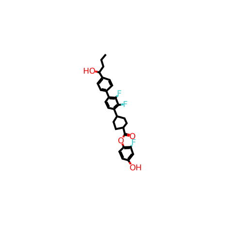 CCCC(O)c1ccc(-c2ccc(C3CCC(C(=O)Oc4ccc(O)cc4F)CC3)c(F)c2F)cc1